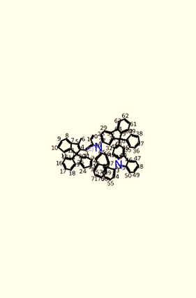 C=C/C(=C\C1=C(C)c2ccccc2C1(c1ccccc1)c1ccccc1)N(c1ccc2c(c1)C(c1ccccc1)(c1ccc3c(c1)c1ccccc1n3-c1ccccc1)c1ccccc1-2)c1ccc2ccccc2c1